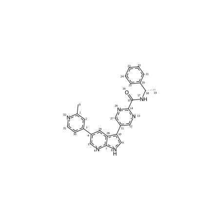 Cc1cc(-c2cnc3[nH]cc(-c4cnc(C(=O)N[C@@H](C)c5ccccc5)nc4)c3c2)ccn1